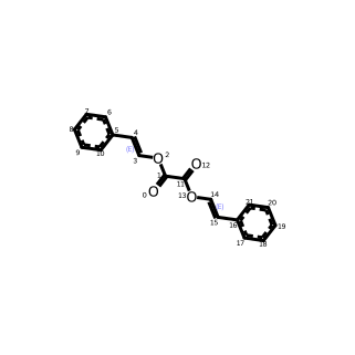 O=C(O/C=C/c1ccccc1)C(=O)O/C=C/c1ccccc1